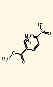 C=C(/C=C\C(=C/C)C(=O)OC)[N+](=O)[O-]